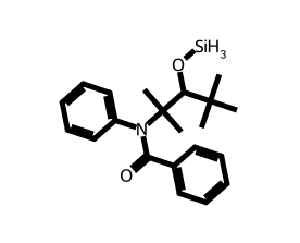 CC(C)(C)C(O[SiH3])C(C)(C)N(C(=O)c1ccccc1)c1ccccc1